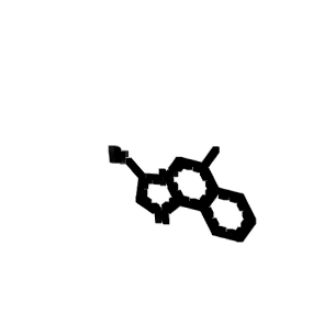 Cc1cn2c(Br)cnc2c2ccccc12